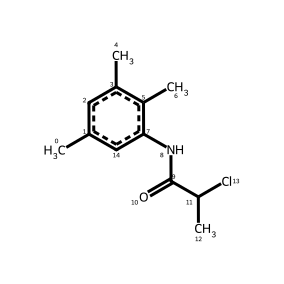 Cc1cc(C)c(C)c(NC(=O)C(C)Cl)c1